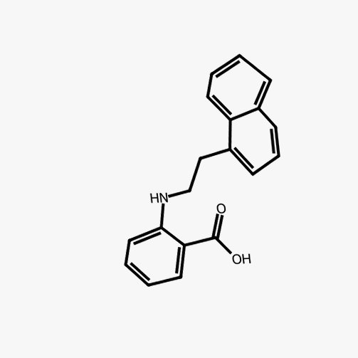 O=C(O)c1ccccc1NCCc1cccc2ccccc12